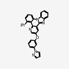 CC(C)c1cccc2c1c1ncc(Oc3cccc(-n4cccn4)c3)cc1c1nc3ccccc3n21